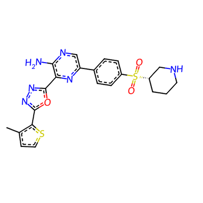 Cc1ccsc1-c1nnc(-c2nc(-c3ccc(S(=O)(=O)[C@H]4CCCNC4)cc3)cnc2N)o1